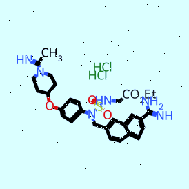 CCOC(=O)CNS(=O)(=O)N(Cc1ccc2ccc(C(=N)N)cc2c1)c1ccc(OC2CCN(C(C)=N)CC2)cc1.Cl.Cl